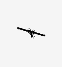 CCCCCCCCCCCCCCCC(=O)OCC(COC(=O)CCCCCCCCCCCCCCC)OC(=O)CCCBr